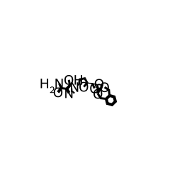 NC(=O)c1ncn([C@H]2CC[C@@H](COP3(=O)OCc4ccccc4CO3)O2)c1O